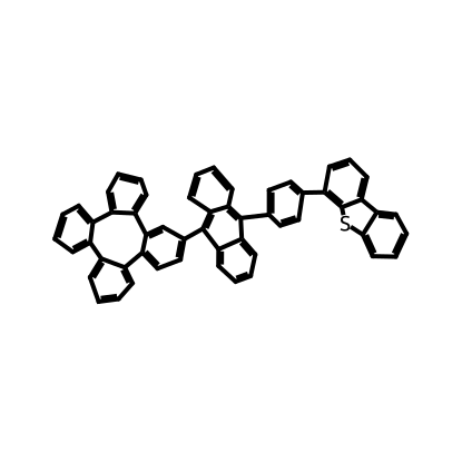 c1ccc2c(c1)-c1ccccc1-c1ccc(-c3c4ccccc4c(-c4ccc(-c5cccc6c5sc5ccccc56)cc4)c4ccccc34)cc1-c1ccccc1-2